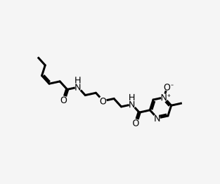 CC/C=C\CC(=O)NCCOCCNC(=O)c1c[n+]([O-])c(C)cn1